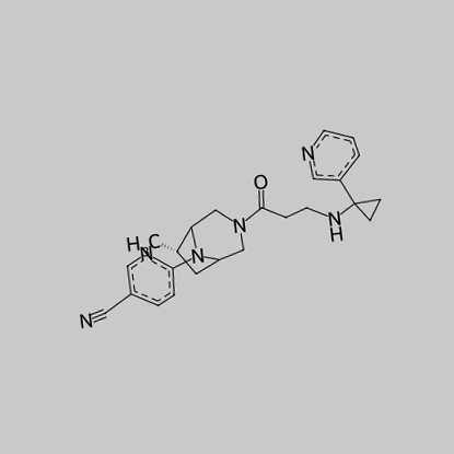 C[C@H]1CC2CN(C(=O)CCNC3(c4cccnc4)CC3)CC1N2c1ccc(C#N)cn1